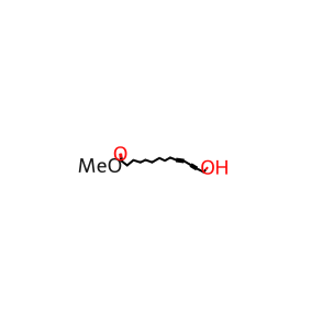 COC(=O)CCCCCCCCC#CC#CCO